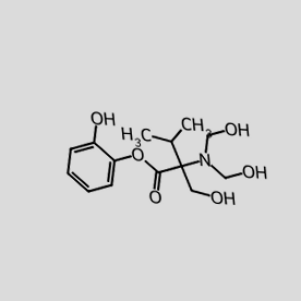 CC(C)C(CO)(C(=O)Oc1ccccc1O)N(CO)CO